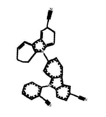 N#Cc1ccc2c(c1)c1ccc(-n3c4c(c5c3=CCC(C#N)C=5)C=CCC4)cc1n2-c1ccccc1C#N